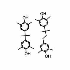 Cc1cc(C(C)(C)c2cc(C)c(O)c(C)c2)cc(C)c1O.Cc1cc(CCC(C)(C)c2cc(C)c(O)c(C)c2)cc(C)c1O